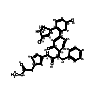 COC(=O)Cn1cc(NC(=O)[C@H](Cc2ccccc2)n2cnc(-c3cc(Cl)ccc3N3C=C(Cl)NN3)cc2=O)cn1